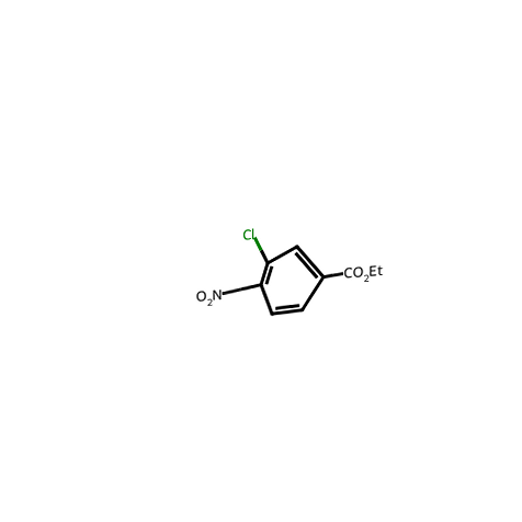 CCOC(=O)c1ccc([N+](=O)[O-])c(Cl)c1